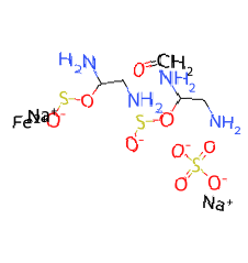 C=O.NCC(N)OS[O-].NCC(N)OS[O-].O=S(=O)([O-])[O-].[Fe+2].[Na+].[Na+]